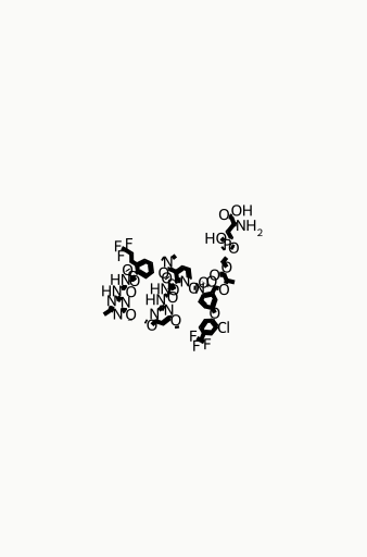 CCOC(=O)C(C)OC(=O)c1cc(Oc2ccc(C(F)(F)F)cc2Cl)ccc1[N+](=O)[O-].COc1cc(OC)nc(NC(=O)NS(=O)(=O)c2ncccc2C(=O)N(C)C)n1.COc1nc(C)nc(NC(=O)NS(=O)(=O)c2ccccc2CCC(F)(F)F)n1.CP(=O)(O)CCC(N)C(=O)O